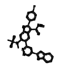 CNC(=O)c1c(-c2ccc(F)cc2)oc2cc(N(C)S(C)(=O)=O)c(-c3cc(-c4cc5ccccc5o4)cnn3)cc12